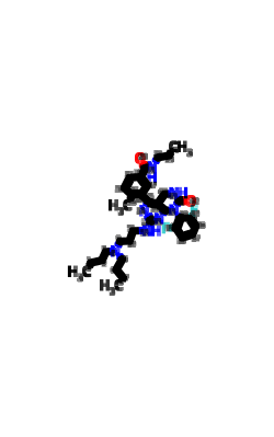 CCCCN(CCCC)CCCNc1nc(-c2cc(C(=O)NCCC)ccc2C)c2c(n1)N(c1c(F)cccc1F)C(=O)NC2